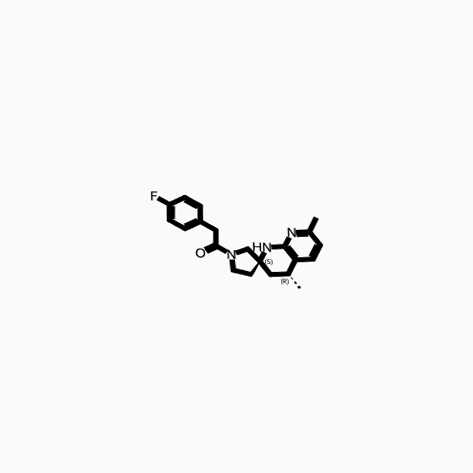 Cc1ccc2c(n1)N[C@]1(CCN(C(=O)Cc3ccc(F)cc3)C1)C[C@H]2C